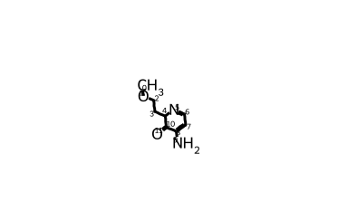 COCCC1N=CC=C(N)C1=O